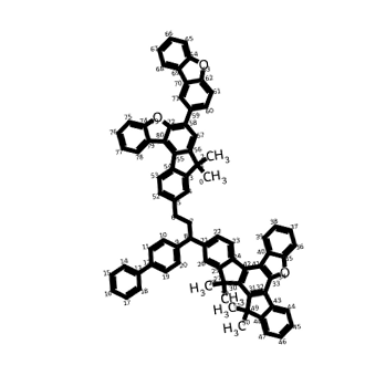 CC1(C)c2cc(CCC(c3ccc(-c4ccccc4)cc3)c3ccc4c(c3)C(C)(C)c3c5c(c6oc7ccccc7c6c3-4)-c3ccccc3C5(C)C)ccc2-c2c1cc(-c1ccc3oc4ccccc4c3c1)c1oc3ccccc3c21